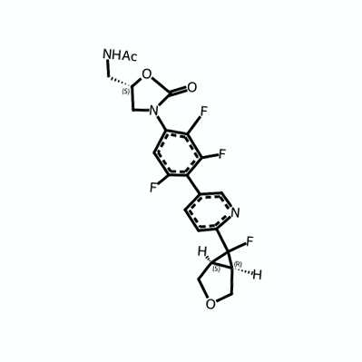 CC(=O)NC[C@H]1CN(c2cc(F)c(-c3ccc(C4(F)[C@@H]5COC[C@@H]54)nc3)c(F)c2F)C(=O)O1